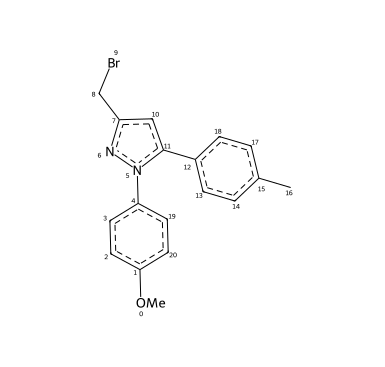 COc1ccc(-n2nc(CBr)cc2-c2ccc(C)cc2)cc1